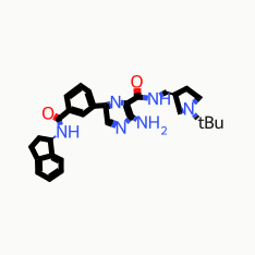 CC(C)(C)N1CC[C@H](CNC(=O)c2nc(-c3cccc(C(=O)N[C@H]4CCc5ccccc54)c3)cnc2N)C1